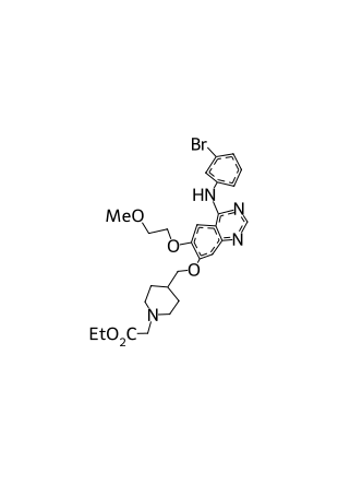 CCOC(=O)CN1CCC(COc2cc3ncnc(Nc4cccc(Br)c4)c3cc2OCCOC)CC1